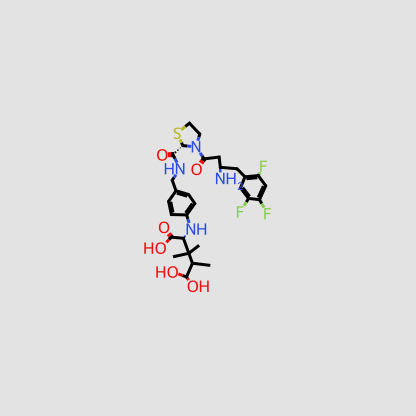 CC(C(O)O)C(C)(C)[C@@H](Nc1ccc(CNC(=O)[C@@H]2SCCN2C(=O)C[C@H](N)Cc2cc(F)c(F)cc2F)cc1)C(=O)O